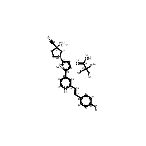 N#C[C@@]1(N)CCN(c2ccc(-c3ccnc(/C=C/c4ccc(F)cc4)c3)[nH]2)C1.O=C(O)C(F)(F)F